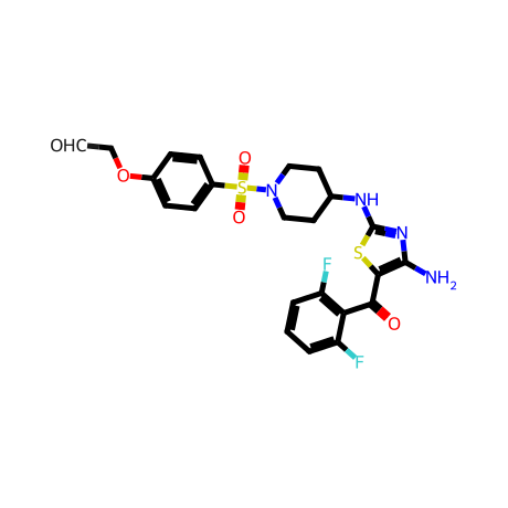 Nc1nc(NC2CCN(S(=O)(=O)c3ccc(OCC=O)cc3)CC2)sc1C(=O)c1c(F)cccc1F